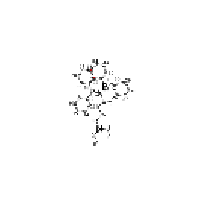 CCN(CC)CCCC(C)N(P(c1ccccc1)c1ccccc1)P(c1ccccc1)c1ccccc1